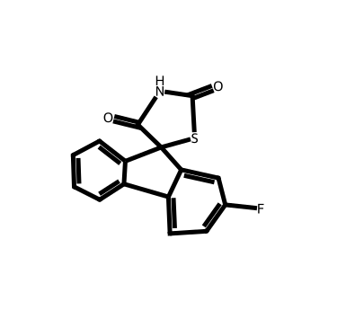 O=C1NC(=O)C2(S1)c1ccccc1-c1ccc(F)cc12